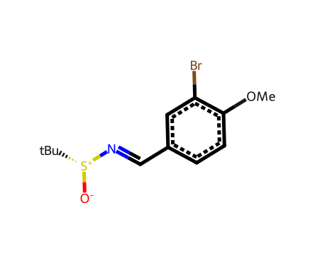 COc1ccc(/C=N/[S@+]([O-])C(C)(C)C)cc1Br